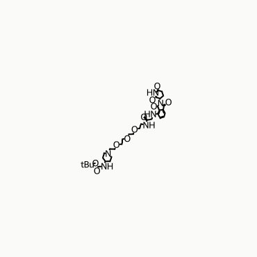 CC(C)(C)OC(=O)NC1CCN(CCOCCOCCOCCNC(=O)CNc2cccc3c2C(=O)N(C2CCC(=O)NC2=O)C3=O)CC1